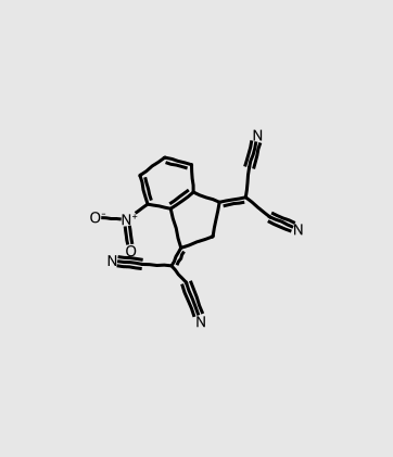 N#CC(C#N)=C1CC(=C(C#N)C#N)c2c1cccc2[N+](=O)[O-]